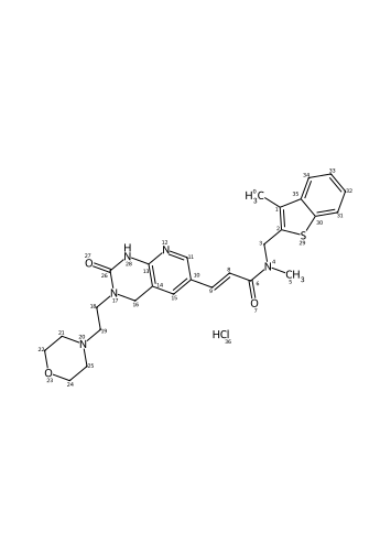 Cc1c(CN(C)C(=O)/C=C/c2cnc3c(c2)CN(CCN2CCOCC2)C(=O)N3)sc2ccccc12.Cl